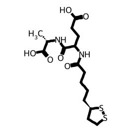 C[C@H](NC(=O)C(CCC(=O)O)NC(=O)CCCC[C@@H]1CCSS1)C(=O)O